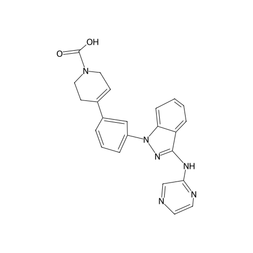 O=C(O)N1CC=C(c2cccc(-n3nc(Nc4cnccn4)c4ccccc43)c2)CC1